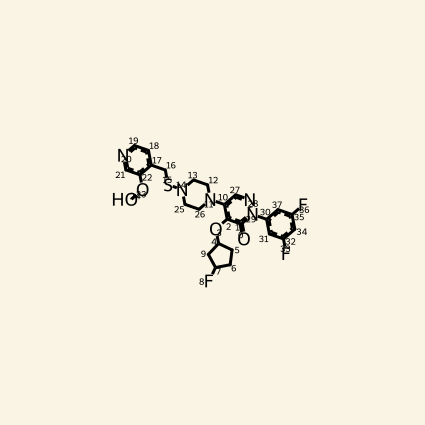 O=c1c(OC2CCC(F)C2)c(N2CCN(SCc3ccncc3OO)CC2)cnn1-c1cc(F)cc(F)c1